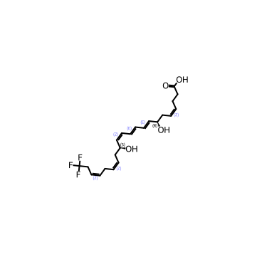 O=C(O)CC/C=C\C[C@@H](O)/C=C/C=C/C=C\[C@@H](O)C/C=C\C/C=C\CC(F)(F)F